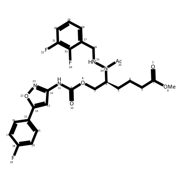 COC(=O)CCC[C@@H](COC(=O)Nc1cc(-c2ccc(F)cc2)on1)N(NCc1cccc(F)c1F)C(C)=O